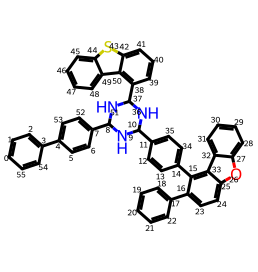 c1ccc(-c2ccc(C3NC(c4ccc(-c5c(-c6ccccc6)ccc6oc7ccccc7c56)cc4)NC(c4cccc5sc6ccccc6c45)N3)cc2)cc1